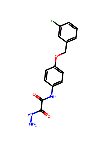 NNC(=O)C(=O)Nc1ccc(OCc2cccc(F)c2)cc1